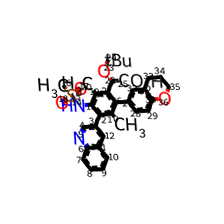 Cc1c(-c2cnc3ccccc3c2)c(NS(C)(=O)=O)c(C)c(C(OC(C)(C)C)C(=O)O)c1-c1ccc2c(c1)CCCO2